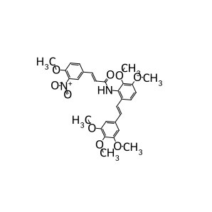 COc1ccc(/C=C/C(=O)Nc2c(/C=C/c3cc(OC)c(OC)c(OC)c3)ccc(OC)c2OC)cc1[N+](=O)[O-]